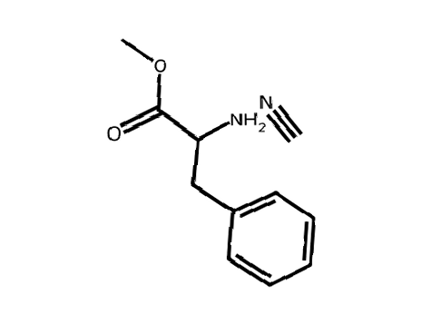 C#N.COC(=O)C(N)Cc1ccccc1